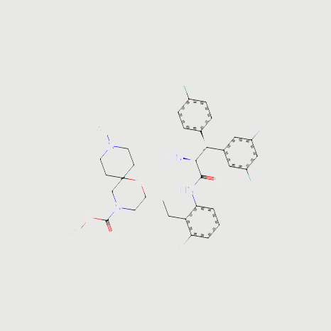 CC(=O)N1CCC2(CC1)CN(C(=O)OC(C)(C)C)C[C@@H](CCc1c(F)cccc1NC(=O)[C@@H](N)[C@@H](c1ccc(Cl)cc1)c1cc(F)cc(F)c1)O2